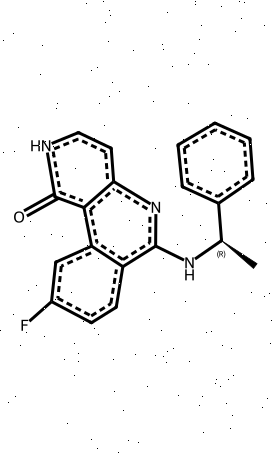 C[C@@H](Nc1nc2cc[nH]c(=O)c2c2cc(F)ccc12)c1ccccc1